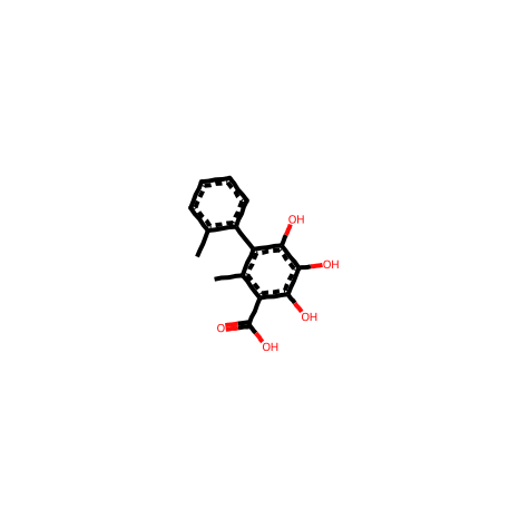 Cc1ccccc1-c1c(C)c(C(=O)O)c(O)c(O)c1O